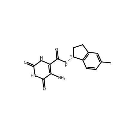 Cc1ccc2c(c1)CC[C@H]2NC(=O)c1[nH]c(=O)[nH]c(=O)c1N